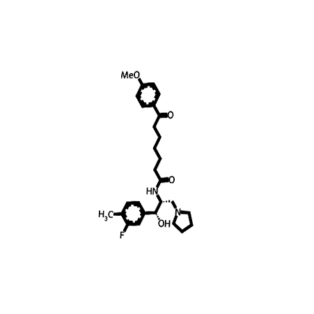 COc1ccc(C(=O)CCCCCC(=O)N[C@H](CN2CCCC2)[C@H](O)c2ccc(C)c(F)c2)cc1